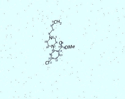 C=CCCN1CCN(c2cc(Cl)ccc2C(=O)OC)CC1